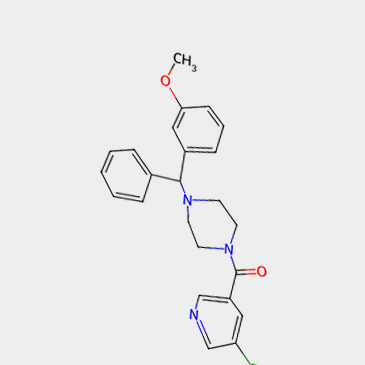 COc1cccc(C(c2ccccc2)N2CCN(C(=O)c3cncc(F)c3)CC2)c1